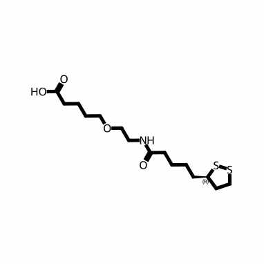 O=C(O)CCCCOCCNC(=O)CCCC[C@@H]1CCSS1